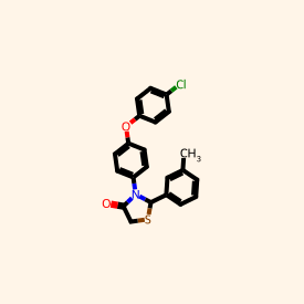 Cc1cccc(C2SCC(=O)N2c2ccc(Oc3ccc(Cl)cc3)cc2)c1